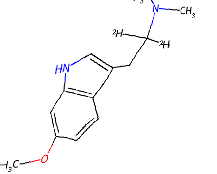 [2H]C([2H])(Cc1c[nH]c2cc(OC)ccc12)N(C)C